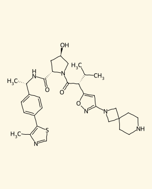 Cc1ncsc1-c1ccc([C@H](C)NC(=O)[C@@H]2C[C@@H](O)CN2C(=O)[C@@H](c2cc(N3CC4(CCNCC4)C3)no2)C(C)C)cc1